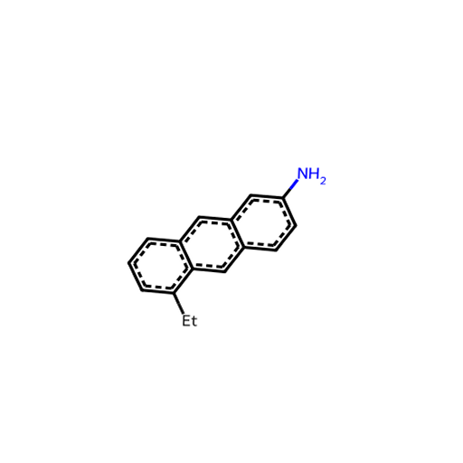 CCc1cccc2cc3cc(N)ccc3cc12